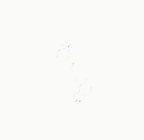 Cc1ccc2n1CCNC2CONC(=O)[C@@H]1CC[C@@H]2CN1C(=O)N2OS(=O)(=O)O